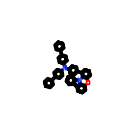 c1ccc(-c2ccc(N(c3ccc(-c4ccccc4)cc3)c3ccc(-c4cccc5c4-n4c6ccccc6c6cccc(c64)O5)cc3)cc2)cc1